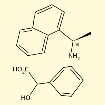 C[C@@H](N)c1cccc2ccccc12.O=C(O)C(O)c1ccccc1